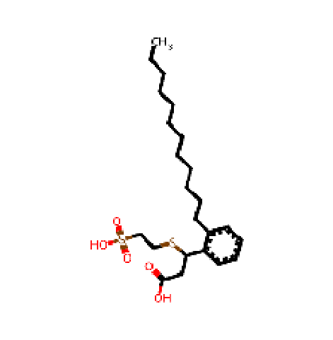 CCCCCCCCCCCCc1ccccc1C(CC(=O)O)SCCS(=O)(=O)O